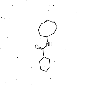 O=C(NC1CCCCCCC1)C1CCCCC1